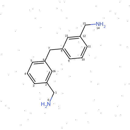 NCc1cccc(Cc2cccc(CN)c2)c1